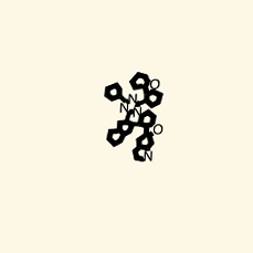 c1ccc(-c2nc(-c3cc4ccccc4cc3-c3cccc4oc5cc6ncccc6cc5c34)nc(-c3cccc4oc5ccccc5c34)n2)cc1